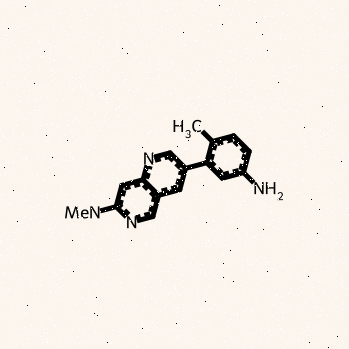 CNc1cc2ncc(-c3cc(N)ccc3C)cc2cn1